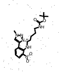 C[C@H](CCCCNC(=O)OC(C)(C)C)Nc1c(-c2cn(C)nn2)cccc1[N+](=O)[O-]